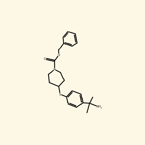 CC(C)(N)c1ccc(SC2CCN(C(=O)OCc3ccccc3)CC2)cc1